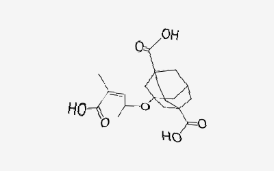 CC(=CC(C)OC12CC3CC(C(=O)O)(C1)CC(C(=O)O)(C3)C2)C(=O)O